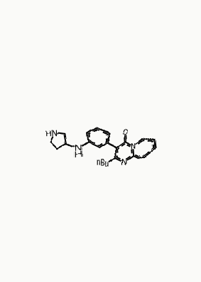 CCCCc1nc2ccccn2c(=O)c1-c1cccc(NC2CCNC2)c1